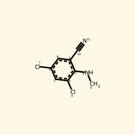 CNc1c(Cl)cc(Cl)cc1C#N